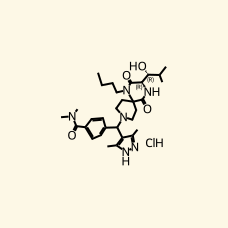 CCCCN1C(=O)[C@@H]([C@H](O)C(C)C)NC(=O)C12CCN(C(c1ccc(C(=O)N(C)C)cc1)c1c(C)n[nH]c1C)CC2.Cl